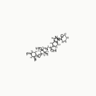 O[C@H](CN1C[C@H]2C[C@H](Oc3ccc(F)cc3F)C[C@@]2(O)C1)c1ccc2c(cnn2C2CCCCO2)c1